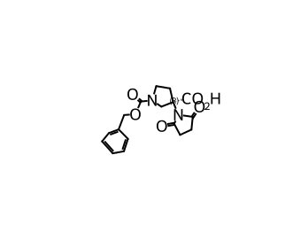 O=C(OCc1ccccc1)N1CC[C@@](C(=O)O)(N2C(=O)CCC2=O)C1